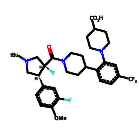 COc1ccc([C@@H]2CN(C(C)(C)C)C[C@@]2(F)C(=O)N2CCC(c3ccc(C(F)(F)F)cc3N3CCC(C(=O)O)CC3)CC2)cc1F